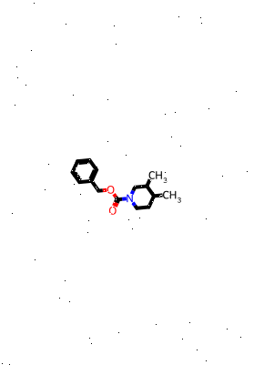 CC1CCN(C(=O)OCc2ccccc2)CC1C